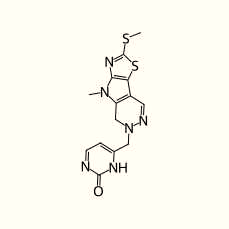 CSc1nc2c(s1)c1c(n2C)CN(Cc2ccnc(=O)[nH]2)N=C1